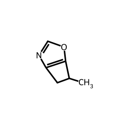 CC1Cc2ncoc21